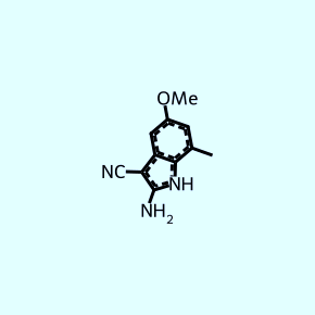 COc1cc(C)c2[nH]c(N)c(C#N)c2c1